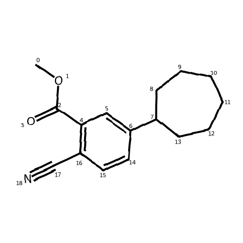 COC(=O)c1cc(C2CCCCCC2)ccc1C#N